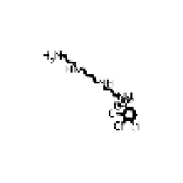 NCCCNCCCCNCCCNS(=O)(=O)c1ccc(Cl)c(Cl)c1Cl